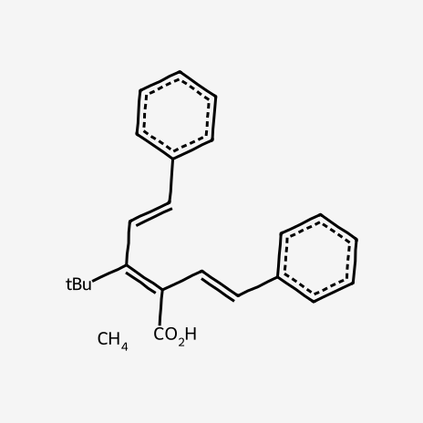 C.CC(C)(C)C(C=Cc1ccccc1)=C(C=Cc1ccccc1)C(=O)O